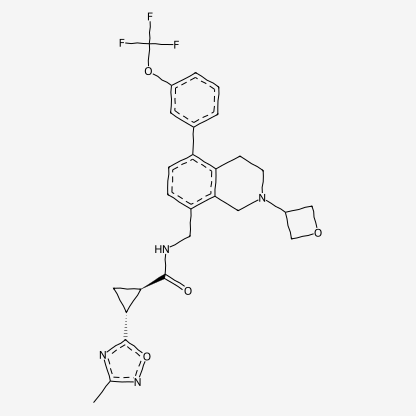 Cc1noc([C@@H]2C[C@H]2C(=O)NCc2ccc(-c3cccc(OC(F)(F)F)c3)c3c2CN(C2COC2)CC3)n1